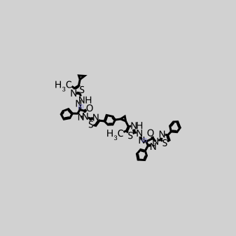 Cc1nc(N/N=C2\C(=O)N(c3nc(-c4ccc(C5CC5c5nc(N/N=C6\C(=O)N(c7nc(-c8ccccc8)cs7)N=C6c6ccccc6)sc5C)cc4)cs3)N=C2c2ccccc2)sc1C1CC1